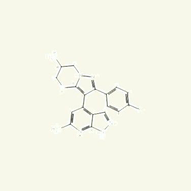 Cc1cc(-c2c(-c3ccc(F)cc3)nn3c2OCC(C)C3)c2cn[nH]c2n1